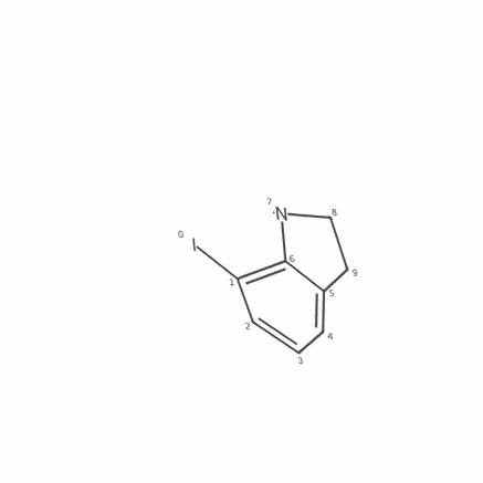 Ic1cccc2c1[N]CC2